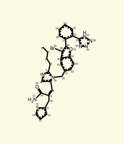 CCCCc1ncc(/C=C(/Cc2cccs2)C(N)=O)n1Cc1ccc2oc(-c3ccccc3-c3nnn[nH]3)c(Br)c2c1